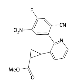 COC(=O)C1CC1c1cccnc1-c1cc([N+](=O)[O-])c(F)cc1C#N